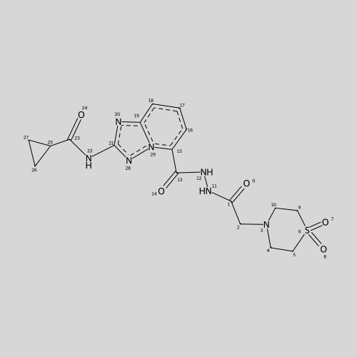 O=C(CN1CCS(=O)(=O)CC1)NNC(=O)c1cccc2nc(NC(=O)C3CC3)nn12